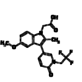 COc1ccc2c(c1)c(-c1ccc(=O)n(CC(F)(F)F)c1)c(C)n2CC(=O)O